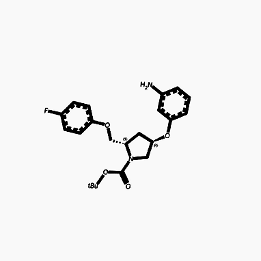 CC(C)(C)OC(=O)N1C[C@H](Oc2cccc(N)c2)C[C@H]1COc1ccc(F)cc1